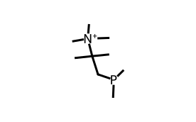 CP(C)CC(C)(C)[N+](C)(C)C